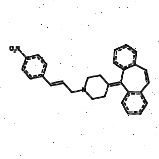 O=[N+]([O-])c1ccc(C=CCN2CCC(=C3c4ccccc4C=Cc4ccccc43)CC2)cc1